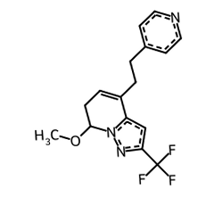 COC1CC=C(CCc2ccncc2)c2cc(C(F)(F)F)nn21